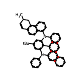 CC1C=Cc2ccc3c(N(c4ccccc4)c4cc(C(C)(C)C)cc(N(c5ccccc5)c5ccccc5)c4-c4cccc(-c5ccccc5)c4)cccc3c2C1